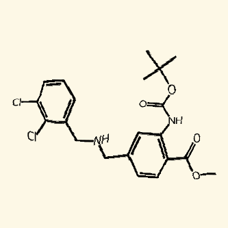 COC(=O)c1ccc(CNCc2cccc(Cl)c2Cl)cc1NC(=O)OC(C)(C)C